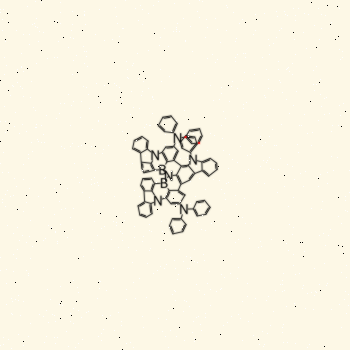 c1ccc(N(c2ccccc2)c2cc3c4c(c2)-n2c5ccccc5c5cccc(c52)B4N2B4c5c(cc(N(c6ccccc6)c6ccccc6)cc5-n5c6ccccc6c6cccc4c65)-c4c2c-3cc2c3ccccc3n(-c3ccccc3)c42)cc1